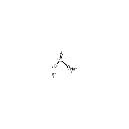 O=S([O-])[O-].[K+].[Na+]